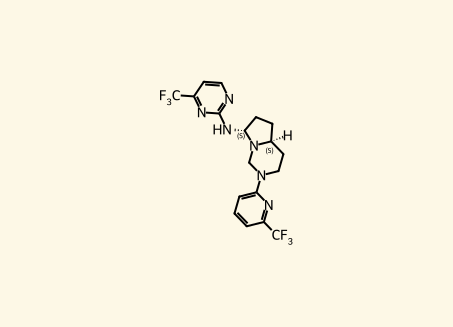 FC(F)(F)c1cccc(N2CC[C@@H]3CC[C@@H](Nc4nccc(C(F)(F)F)n4)N3C2)n1